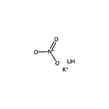 O=[N+]([O-])[O-].[K+].[LiH]